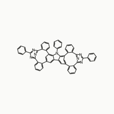 c1ccc(-c2nc3nc(n2)c2ccccc2c2cc(cc4c5cc6cc(c7ccccc7c7nc(-c8ccccc8)nc(n7)c7ccccc67)c5n(-c5ccccc5)c24)c2ccccc32)cc1